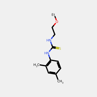 CCOCCNC(=S)Nc1ccc(C)cc1C